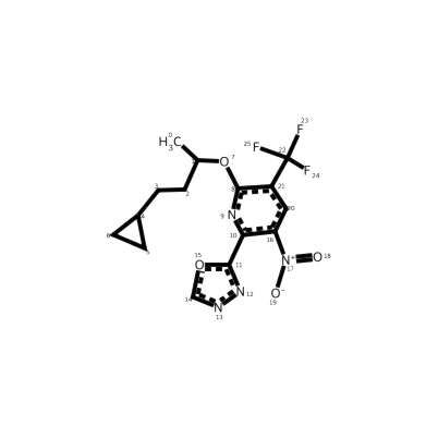 CC(CCC1CC1)Oc1nc(-c2nnco2)c([N+](=O)[O-])cc1C(F)(F)F